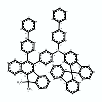 CC1(C)c2ccccc2-c2c(-c3ccc(N(c4ccc(-c5ccccc5)cc4)c4ccc5c(c4)C4(c6ccccc6-c6ccccc64)c4ccccc4-5)cc3)c(-c3ccc(-c4ccccc4)cc3)c3ccccc3c21